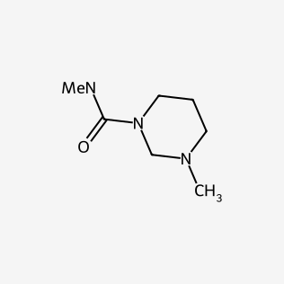 CNC(=O)N1CCCN(C)C1